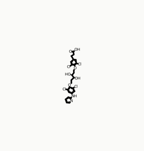 O=C(O)CCc1cc(Cl)c(OCC[C@H](O)[C@@H](O)CCOc2c(Cl)cc(Nc3ccccn3)cc2Cl)c(Cl)c1